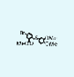 COC(=O)c1cc(Br)ccc1CSc1ccc(OC)c(OC)c1